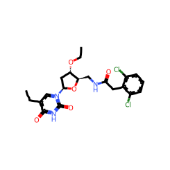 CCO[C@H]1C[C@H](n2cc(CC)c(=O)[nH]c2=O)O[C@@H]1CNC(=O)Cc1c(Cl)cccc1Cl